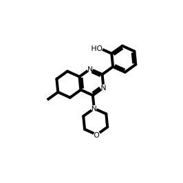 CC1CCc2nc(-c3ccccc3O)nc(N3CCOCC3)c2C1